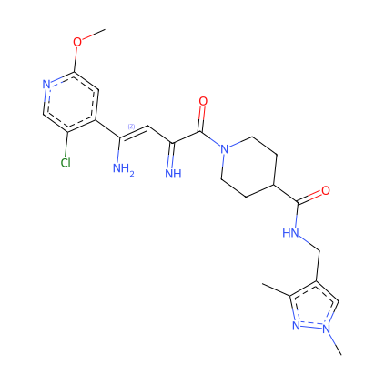 COc1cc(/C(N)=C/C(=N)C(=O)N2CCC(C(=O)NCc3cn(C)nc3C)CC2)c(Cl)cn1